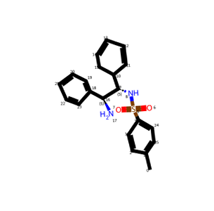 Cc1ccc(S(=O)(=O)N[C@@H](C2C=CC=CC2)[C@@H](N)c2ccccc2)cc1